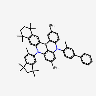 Cc1cc(-c2ccccc2)ccc1N1c2ccc(C(C)(C)C)cc2B2c3cc4c(cc3N(c3cc5c(cc3C)C(C)(C)CC5(C)C)c3cc(C(C)(C)C)cc1c32)C(C)(C)CCC4(C)C